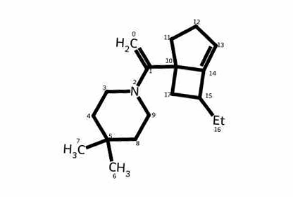 C=C(N1CCC(C)(C)CC1)C12CCC=C1C(CC)C2